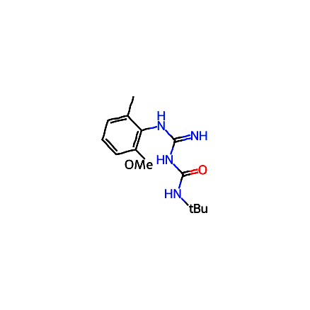 COc1cccc(C)c1NC(=N)NC(=O)NC(C)(C)C